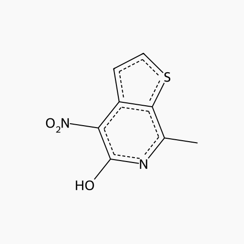 Cc1nc(O)c([N+](=O)[O-])c2ccsc12